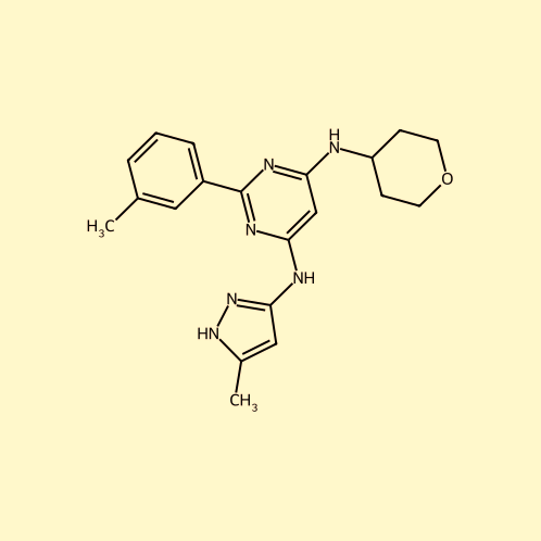 Cc1cccc(-c2nc(Nc3cc(C)[nH]n3)cc(NC3CCOCC3)n2)c1